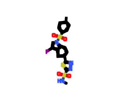 CNS(=O)(=O)c1nnc(-c2ccc3c(c2)c(I)cn3S(=O)(=O)c2ccc(C)cc2)s1